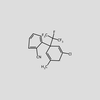 CC1=CC(c2ccccc2C#N)(C(F)(C(F)(F)F)C(F)(F)F)C=C(Cl)[CH]1